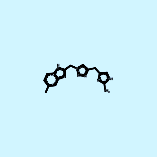 Cc1ccc2[nH]c(Cn3cc(Cc4c[nH]c(N)n4)nn3)nc2c1